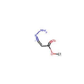 CCOC(=O)/C=N\N